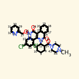 CN1CCN(C(=O)C2CCCCC2N2C(=O)c3ccccc3C(C(=O)NOCc3ccccn3)C2c2ccc(Cl)cc2Cl)CC1